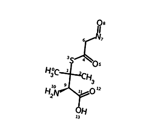 CC(C)(SC(=O)CN=O)[C@H](N)C(=O)O